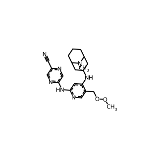 COOCc1cnc(Nc2cnc(C#N)cn2)cc1NC1CC2CCCC(C1)N2C